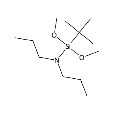 CCCN(CCC)[Si](OC)(OC)C(C)(C)C